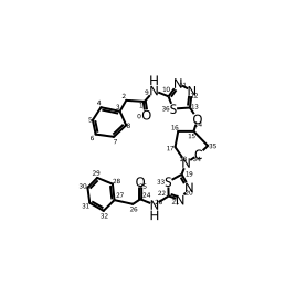 O=C(Cc1ccccc1)Nc1nnc(OC2CCN(c3nnc(NC(=O)Cc4ccccc4)s3)CC2)s1